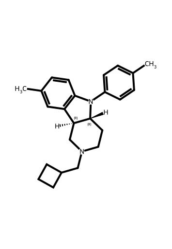 Cc1ccc(N2c3ccc(C)cc3[C@@H]3CN(CC4CCC4)CC[C@H]32)cc1